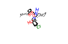 COC(=O)c1ccccc1OCC(=O)NC(C=O)[C@@H](C)CN1CC[C@](O)(c2ccc(Cl)cc2)C(C)(C)C1